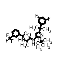 CC(NC(=O)c1cccc(C(F)(F)F)c1)C(=O)Nc1cc(C(C)(C)c2cc(F)cc(F)c2)nn1C(C)(C)C